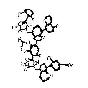 N#Cc1ccc(-c2ccc(C[C@H](NC(=O)c3c(F)cc(-c4cnc5c(-c6ccc(F)c7cccnc67)ccc(C[C@H](NC(=O)c6c(F)cccc6F)C(=O)O)c5c4)c(OC(F)F)c3F)C(=O)O)c3cccnc23)c(Cl)c1